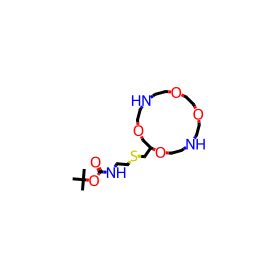 CC(C)(C)OC(=O)NCCSCC1COCCNCCOCCOCCNCCO1